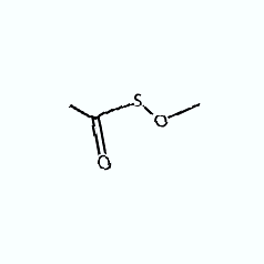 COSC(C)=O